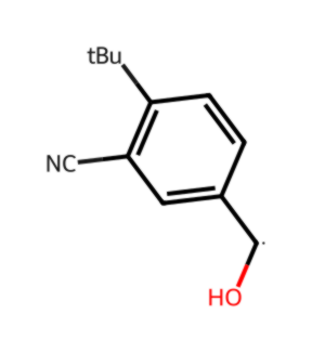 CC(C)(C)c1ccc([CH]O)cc1C#N